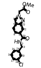 COC(=O)Cn1cc2ccc(C(=O)NCc3cccc(Cl)c3)cc2n1